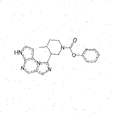 CC1CCN(C(=O)Oc2ccccc2)CC1c1ncc2cnc3[nH]ccc3n12